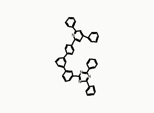 c1ccc(-c2cc(-c3ccccc3)nc(-c3ccc(-c4cccc(-c5cccc(-c6nc(-c7ccccc7)nc(-c7ccccc7)n6)c5)c4)cc3)c2)cc1